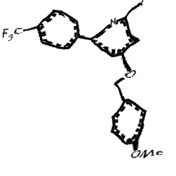 COc1ccc(COc2cc(I)nc(-c3ccc(C(F)(F)F)cc3)c2)cc1